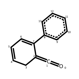 O=C=C1CC=C[C]=C1c1[c]cccc1